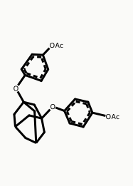 CC(=O)Oc1ccc(OC23CC4CC(C2)CC(Oc2ccc(OC(C)=O)cc2)(C4)C3)cc1